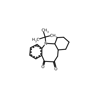 CC(C)(C)N1c2ccccc2C(=O)C(=O)CC2CCCCC21